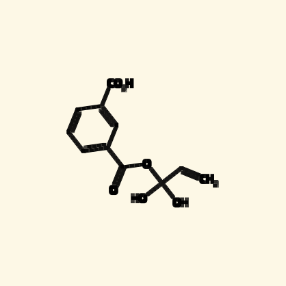 C=CC(O)(O)OC(=O)c1cccc(C(=O)O)c1